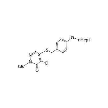 CCCCCCCOc1ccc(CSc2cnn(C(C)(C)C)c(=O)c2Cl)cc1